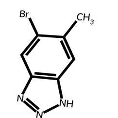 Cc1cc2[nH]nnc2cc1Br